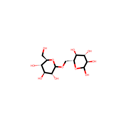 OC[C@H]1OC(OC[C@H]2OC(O)[C@H](O)[C@@H](O)[C@@H]2O)[C@H](O)[C@@H](O)[C@@H]1O